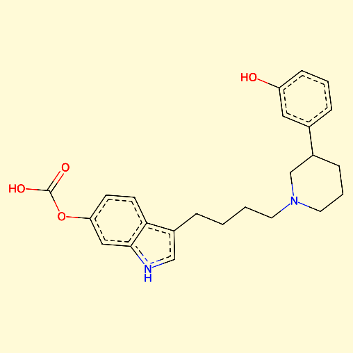 O=C(O)Oc1ccc2c(CCCCN3CCCC(c4cccc(O)c4)C3)c[nH]c2c1